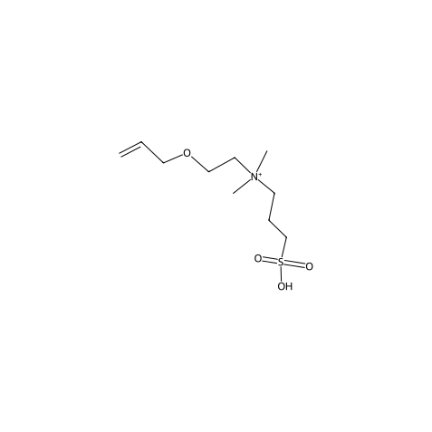 C=CCOCC[N+](C)(C)CCCS(=O)(=O)O